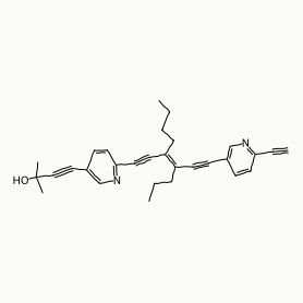 C#Cc1ccc(C#C/C(CCC)=C(/C#Cc2ccc(C#CC(C)(C)O)cn2)CCCC)cn1